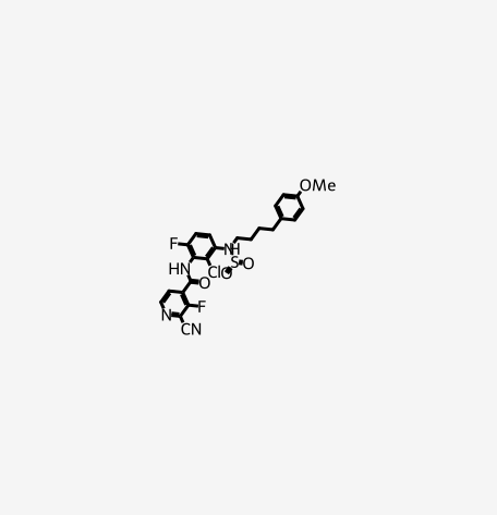 COc1ccc(CCCCN(c2ccc(F)c(NC(=O)c3ccnc(C#N)c3F)c2Cl)[SH](=O)=O)cc1